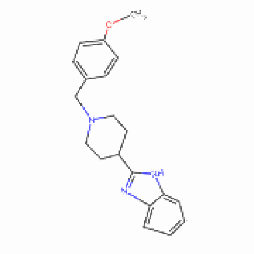 COc1ccc(CN2CCC(c3nc4cc[c]cc4[nH]3)CC2)cc1